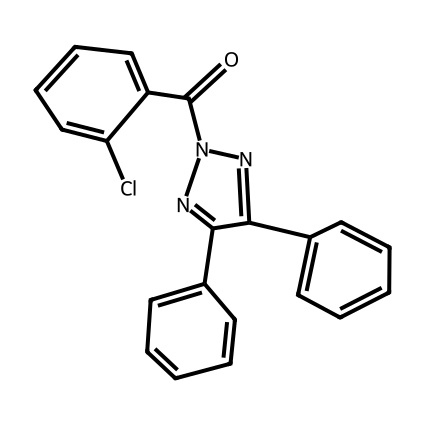 O=C(c1ccccc1Cl)n1nc(-c2ccccc2)c(-c2ccccc2)n1